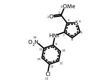 COC(=O)c1sccc1Nc1ccc(Cl)cc1[N+](=O)[O-]